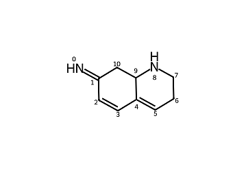 N=C1C=CC2=CCCNC2C1